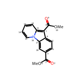 COC(=O)c1ccc2c(C(=O)OC)c3ccccn3c2c1